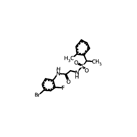 Cc1ccccc1C(C)S(=O)(=O)NCC(=O)Nc1ccc(Br)cc1F